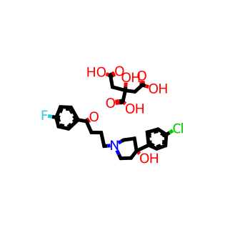 O=C(CCCN1CCC(O)(c2ccc(Cl)cc2)CC1)c1ccc(F)cc1.O=C(O)CC(O)(CC(=O)O)C(=O)O